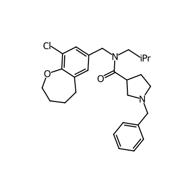 CC(C)CN(Cc1cc(Cl)c2c(c1)CCCCO2)C(=O)C1CCN(Cc2ccccc2)C1